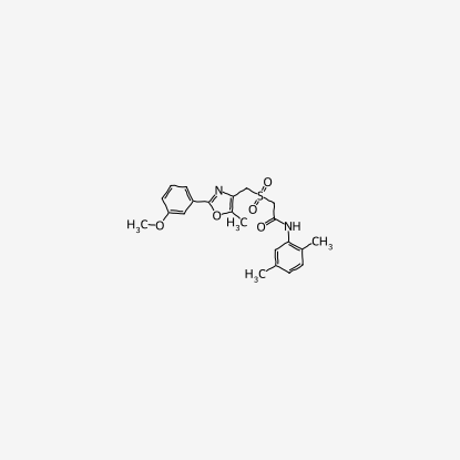 COc1cccc(-c2nc(CS(=O)(=O)CC(=O)Nc3cc(C)ccc3C)c(C)o2)c1